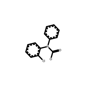 [O]C(=O)N(c1ccccc1)c1ccccc1Cl